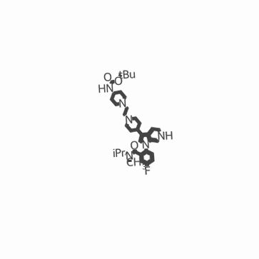 CC(C)N(C)C(=O)c1cc(F)ccc1-n1cc(C2CCN(CCN3CCC(NC(=O)OC(C)(C)C)CC3)CC2)c2c1=CNCC=2